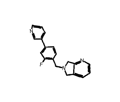 Fc1cc(-c2cccnc2)ccc1CN1Cc2cccnc2C1